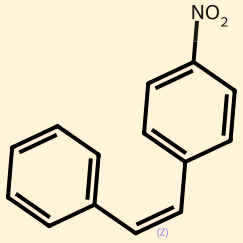 O=[N+]([O-])c1ccc(/C=C\c2ccccc2)cc1